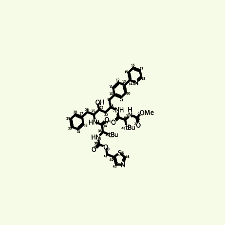 COC(=O)NC(C(=O)NC(Cc1ccc(-c2ccccn2)cc1)CC(O)C(Cc1ccccc1)NC(=O)C(NC(=O)OCc1cncs1)C(C)(C)C)C(C)(C)C